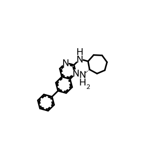 N[C@H]1CCCCCC1Nc1ncc2cc(-c3ccccc3)ccc2n1